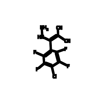 N#CC(C#N)=C(NN)c1c(F)c(F)c(Cl)c(F)c1F